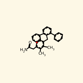 Cc1c(CC(N)=O)ccc(Cc2c(-c3ccccc3)cccc2-c2ccccc2)c1C